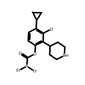 CCN(CC)C(=O)Oc1ccc(C2CC2)c(Cl)c1C1CCNCC1